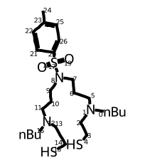 CCCCN(CCS)CCCN(CCCN(CCS)CCCC)S(=O)(=O)c1ccc(C)cc1